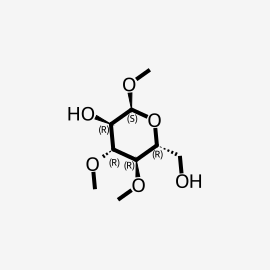 CO[C@H]1O[C@H](CO)[C@@H](OC)[C@H](OC)[C@H]1O